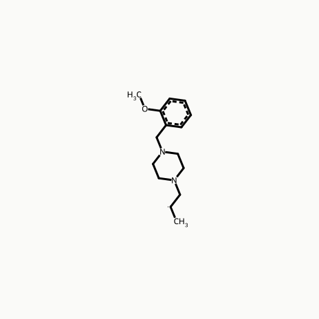 C[CH]CN1CCN(Cc2ccccc2OC)CC1